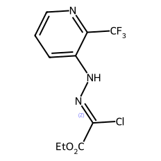 CCOC(=O)/C(Cl)=N/Nc1cccnc1C(F)(F)F